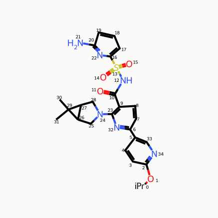 CC(C)Oc1ccc(-c2ccc(C(=O)NS(=O)(=O)c3cccc(N)n3)c(N3CC4C(C3)C4(C)C)n2)cn1